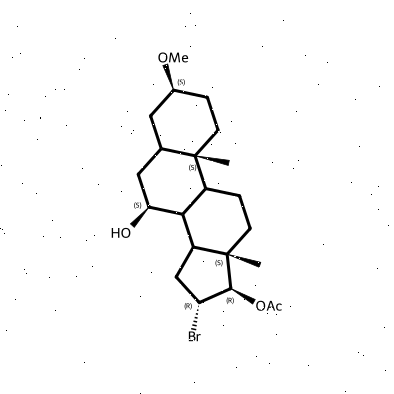 CO[C@H]1CC[C@@]2(C)C(C1)C[C@H](O)C1C2CC[C@@]2(C)C1C[C@@H](Br)[C@@H]2OC(C)=O